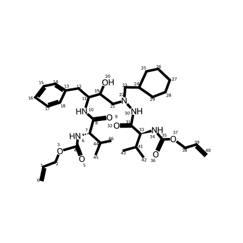 C=CCOC(=O)N[C@H](C(=O)NC(Cc1ccccc1)C(O)CN(CC1CCCCC1)NC(=O)[C@@H](NC(=O)OCC=C)C(C)C)C(C)C